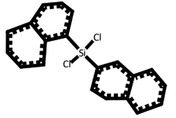 Cl[Si](Cl)(c1ccc2ccccc2c1)c1cccc2ccccc12